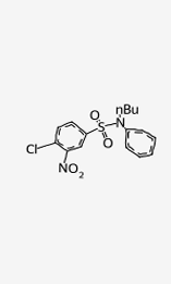 CCCCN(c1ccccc1)S(=O)(=O)c1ccc(Cl)c([N+](=O)[O-])c1